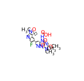 COC1CN(S(=O)(=O)Nc2cc(-c3cc4c5c(cnc4cc3F)N(C)C(=O)C53CCC3)cnc2N2CC(N(C)C)C2)C1.O=CO